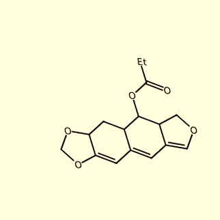 CCC(=O)OC1C2COC=C2C=C2C=C3OCOC3CC21